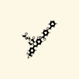 CCN(CC(=O)OOOC(C)=O)C(Cc1ccc(NC(=O)c2ccc(OCc3ccccc3)cc2)cc1)c1ccc(C(F)(F)F)cc1